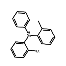 CCc1cccc[c]1[SnH]([c]1ccccc1)[c]1ccccc1C